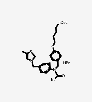 Br.CCCCCCCCCCCCCCOc1ccc(CN(C(=O)CC)c2ccc(CN3C=C(C)SC3)cc2)cc1